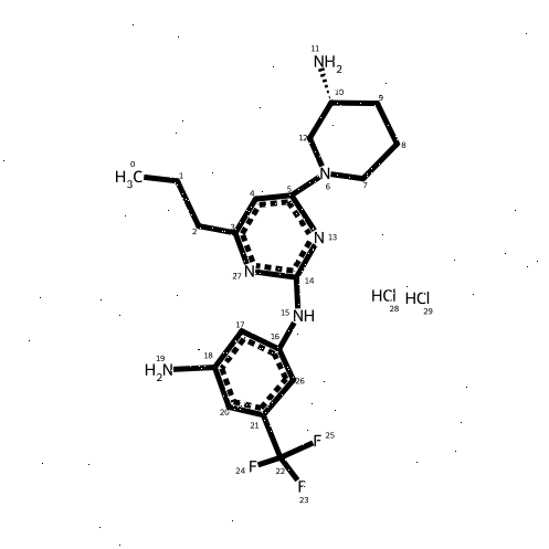 CCCc1cc(N2CCC[C@@H](N)C2)nc(Nc2cc(N)cc(C(F)(F)F)c2)n1.Cl.Cl